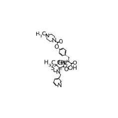 CN1CCN(C(=O)Oc2ccc(C[C@H](NC(=O)[C@H]3N(Cc4cccnc4)CSC3(C)C)C(=O)O)cc2)CC1